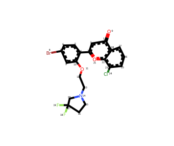 O=c1cc(-c2ccc(Br)cc2OCCN2CCC(F)(F)C2)oc2c(Cl)cccc12